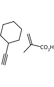 C#CC1CCCCC1.C=C(C)C(=O)O